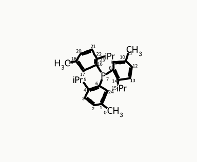 Cc1ccc(C(C)C)c(P(c2cc(C)ccc2C(C)C)c2cc(C)ccc2C(C)C)c1